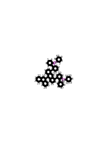 c1ccc(-p2c3ccccc3c3c(-c4cccc5c(-c6cc7ccccc7c7ccccc67)c6cccc(-c7cccc8c7c7ccccc7p8-c7ccccc7)c6cc45)cccc32)cc1